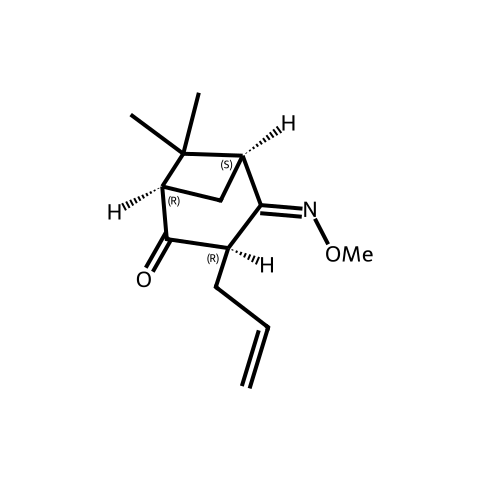 C=CC[C@H]1C(=O)[C@@H]2C[C@H](C1=NOC)C2(C)C